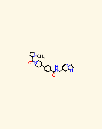 Cn1cccc1C(=O)N1CCC(c2ccc(C(=O)NCc3ccn4ccnc4c3)cc2)CC1